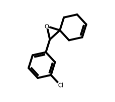 Clc1cccc(C2OC23CC=CCC3)c1